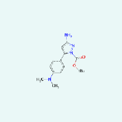 CN(C)c1ccc(-c2cc(N)nn2C(=O)OC(C)(C)C)cc1